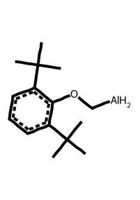 CC(C)(C)c1cccc(C(C)(C)C)c1O[CH2][AlH2]